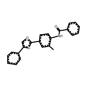 Cc1cc(-c2nc(-c3ccccc3)co2)ccc1NC(=O)c1ccccc1